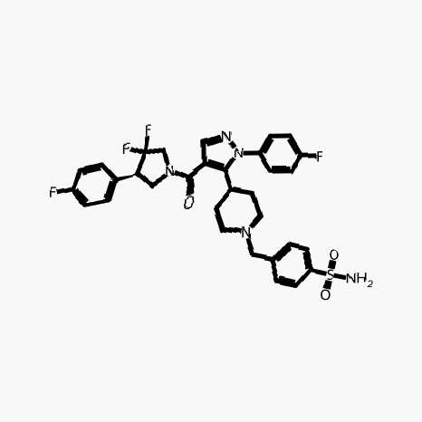 NS(=O)(=O)c1ccc(CN2CCC(c3c(C(=O)N4C[C@@H](c5ccc(F)cc5)C(F)(F)C4)cnn3-c3ccc(F)cc3)CC2)cc1